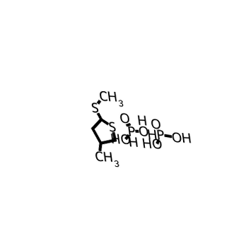 CSC1CC(C)CS1.O=[PH](O)O.O=[PH](O)O